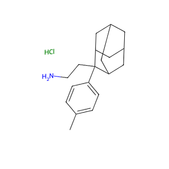 Cc1ccc(C2(CCN)C3CC4CC(C3)CC2C4)cc1.Cl